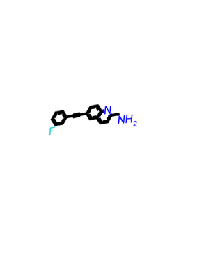 NCc1ccc2cc(C#Cc3cccc(F)c3)ccc2n1